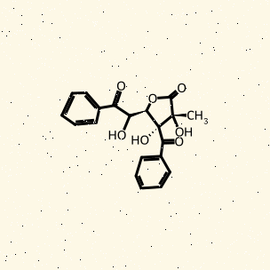 C[C@]1(O)C(=O)O[C@H](C(O)C(=O)c2ccccc2)[C@]1(O)C(=O)c1ccccc1